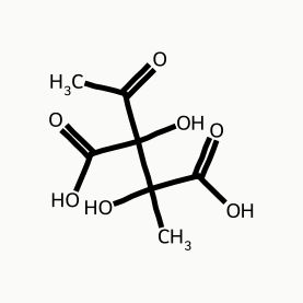 CC(=O)C(O)(C(=O)O)C(C)(O)C(=O)O